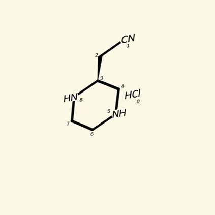 Cl.N#CC[C@H]1CNCCN1